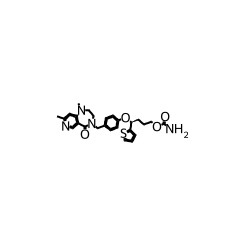 Cc1cc2c(cn1)C(=O)N(Cc1ccc(O[C@@H](CCCOC(N)=O)c3cccs3)cc1)CCN2C